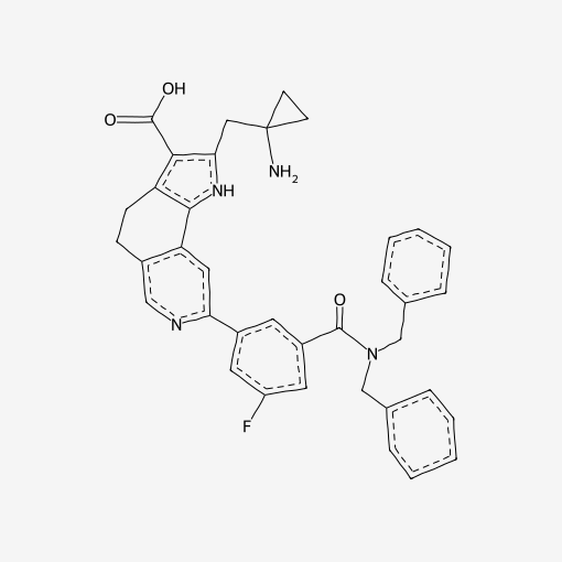 NC1(Cc2[nH]c3c(c2C(=O)O)CCc2cnc(-c4cc(F)cc(C(=O)N(Cc5ccccc5)Cc5ccccc5)c4)cc2-3)CC1